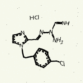 Cl.N=CN(N)N=Cc1nccn1Cc1ccc(Cl)cc1